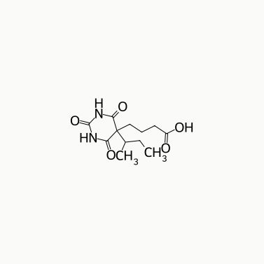 CCC(C)C1(CCCC(=O)O)C(=O)NC(=O)NC1=O